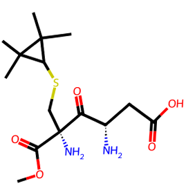 COC(=O)[C@@](N)(CSC1C(C)(C)C1(C)C)C(=O)[C@@H](N)CC(=O)O